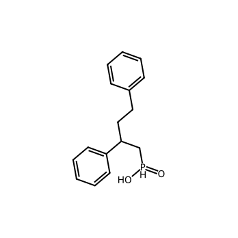 O=[PH](O)CC(CCc1ccccc1)c1ccccc1